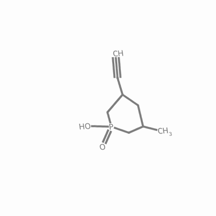 C#CC1CC(C)CP(=O)(O)C1